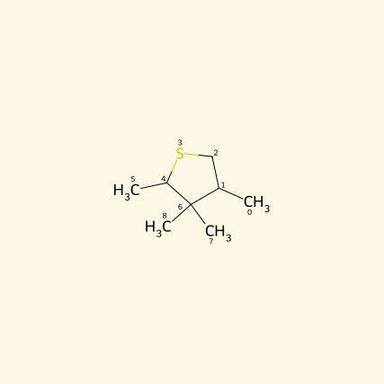 CC1CSC(C)C1(C)C